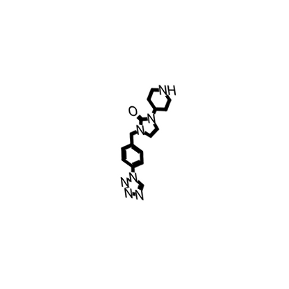 O=C1N(Cc2ccc(-n3cnnn3)cc2)CCN1C1CCNCC1